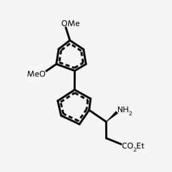 CCOC(=O)C[C@H](N)c1cccc(-c2ccc(OC)cc2OC)c1